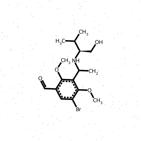 [CH2]C(N[C@H](CO)C(C)C)c1c(OC)c(Br)cc(C=O)c1OC